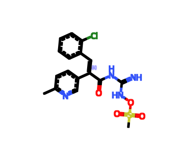 Cc1ccc(/C(=C\c2ccccc2Cl)C(=O)NC(=N)NOS(C)(=O)=O)cn1